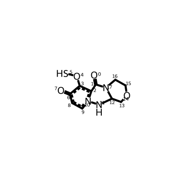 O=C1c2c(OS)c(=O)ccn2NC2COCCN12